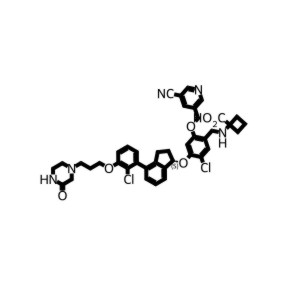 N#Cc1cncc(COc2cc(O[C@H]3CCc4c(-c5cccc(OCCCN6CCNC(=O)C6)c5Cl)cccc43)c(Cl)cc2CNC2(C(=O)O)CCC2)c1